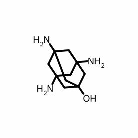 NC12CC3(N)CC(N)(C1)CC(O)(C2)C3